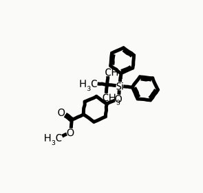 COC(=O)C1CCC(O[Si](c2ccccc2)(c2ccccc2)C(C)(C)C)CC1